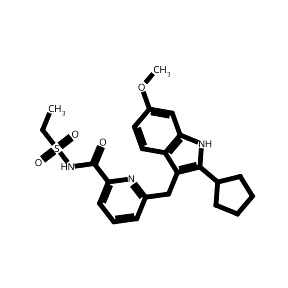 CCS(=O)(=O)NC(=O)c1cccc(Cc2c(C3CCCC3)[nH]c3cc(OC)ccc23)n1